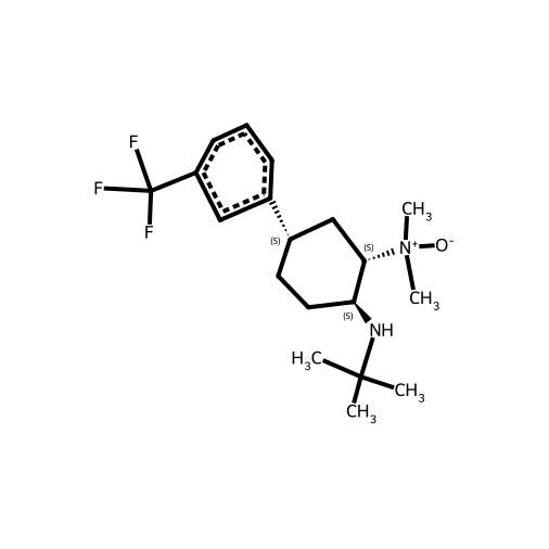 CC(C)(C)N[C@H]1CC[C@H](c2cccc(C(F)(F)F)c2)C[C@@H]1[N+](C)(C)[O-]